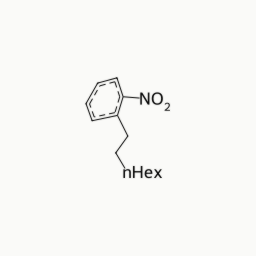 [CH2]CCCCCCCc1ccccc1[N+](=O)[O-]